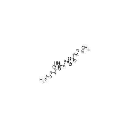 CCCCCC(=O)OC(=N)CCC(=O)OC(=O)CCCCC